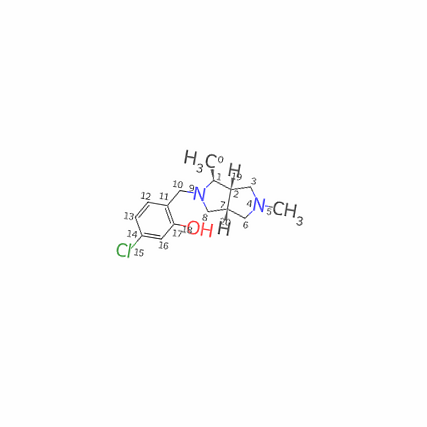 C[C@H]1[C@@H]2CN(C)C[C@@H]2CN1Cc1ccc(Cl)cc1O